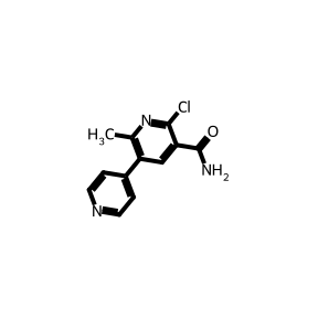 Cc1nc(Cl)c(C(N)=O)cc1-c1ccncc1